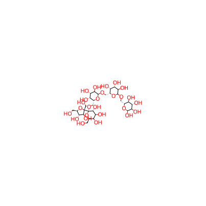 OC[C@H]1O[C@@](OC[C@H]2O[C@H](OC[C@H]3O[C@H](OC[C@H]4O[C@H](O)[C@H](O)[C@@H](O)[C@@H]4O)[C@H](O)[C@@H](O)[C@H]3O)[C@H](O)[C@@H](O)[C@H]2O)([C@@]2(CO)O[C@H](CO)[C@@H](O)[C@@H]2O)[C@H](O)[C@@H](O)[C@H]1O